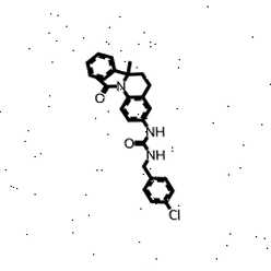 CC(=O)N1c2ccc(NC(=O)NCc3ccc(Cl)cc3)cc2CCC1(C)c1ccccc1